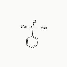 CC(C)(C)[Si](Cl)(c1ccccc1)C(C)(C)C